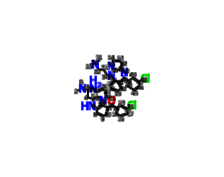 CN(C)CCC(Nc1cccc(C(=O)c2cccc(Cl)c2)c1)c1ncccc1N.CN(C)CCCN1c2ccccc2C(c2cccc(Cl)c2)=Nc2cccnc21